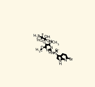 BC(O)(F)C(O)(O)Oc1c(OC)nc(N[S+]([O-])c2c[nH]c3nc(Br)ccc23)nc1OC